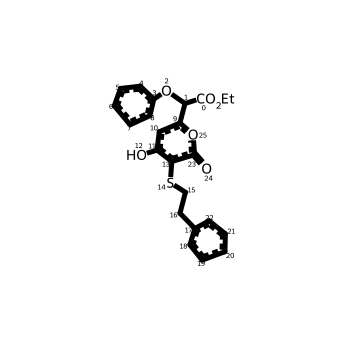 CCOC(=O)C(Oc1ccccc1)c1cc(O)c(SCCc2ccccc2)c(=O)o1